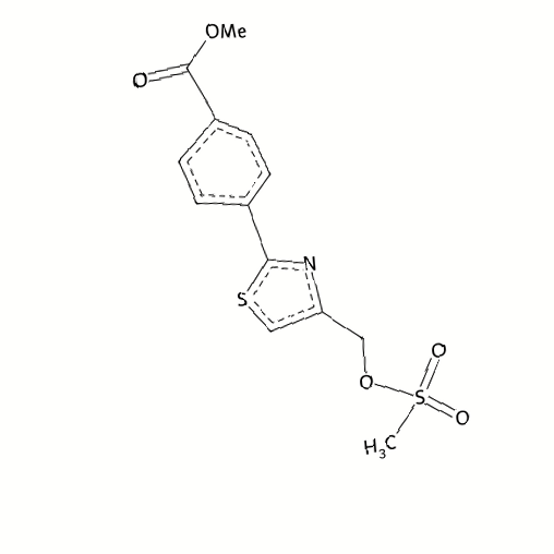 COC(=O)c1ccc(-c2nc(COS(C)(=O)=O)cs2)cc1